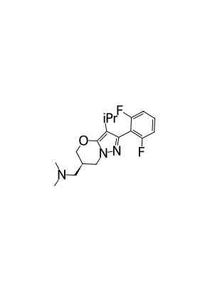 CC(C)c1c(-c2c(F)cccc2F)nn2c1OC[C@H](CN(C)C)C2